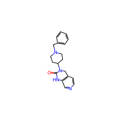 O=C1Nc2cnccc2CN1C1CCN(Cc2ccccc2)CC1